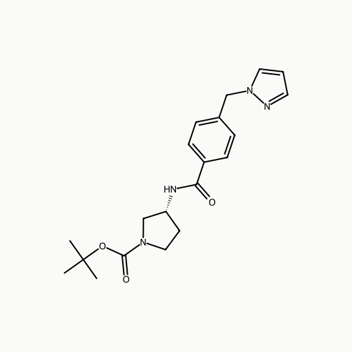 CC(C)(C)OC(=O)N1CC[C@@H](NC(=O)c2ccc(Cn3cccn3)cc2)C1